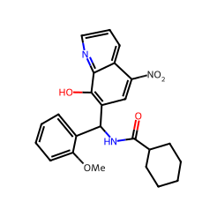 COc1ccccc1C(NC(=O)C1CCCCC1)c1cc([N+](=O)[O-])c2cccnc2c1O